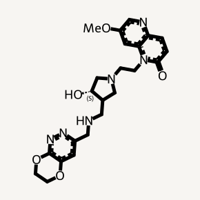 COc1cnc2ccc(=O)n(CCN3CC(CNCc4cc5c(nn4)OCCO5)[C@H](O)C3)c2c1